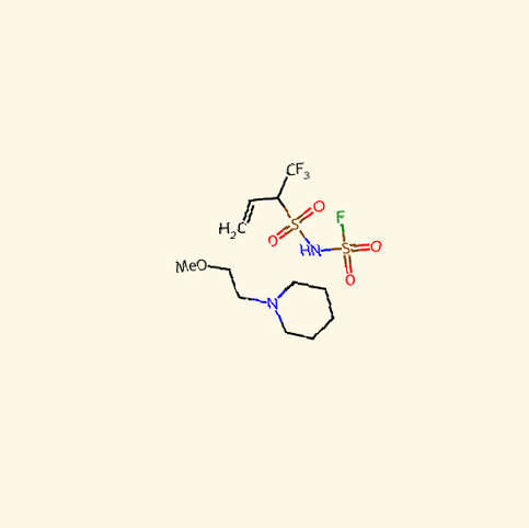 C=CC(C(F)(F)F)S(=O)(=O)NS(=O)(=O)F.COCCN1CCCCC1